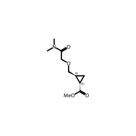 COC(=O)[C@H]1C[C@@H]1COCC(=O)N(C)C